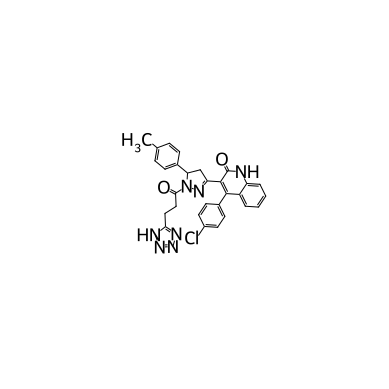 Cc1ccc(C2CC(c3c(-c4ccc(Cl)cc4)c4ccccc4[nH]c3=O)=NN2C(=O)CCc2nnn[nH]2)cc1